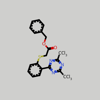 O=C(CSc1ccccc1-c1nc(C(Cl)(Cl)Cl)nc(C(Cl)(Cl)Cl)n1)OCc1ccccc1